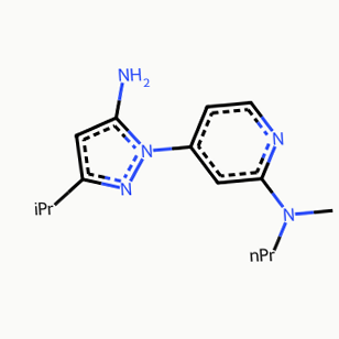 CCCN(C)c1cc(-n2nc(C(C)C)cc2N)ccn1